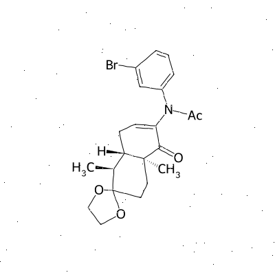 CC(=O)N(C1=CC[C@H]2[C@H](C)C3(CC[C@]2(C)C1=O)OCCO3)c1cccc(Br)c1